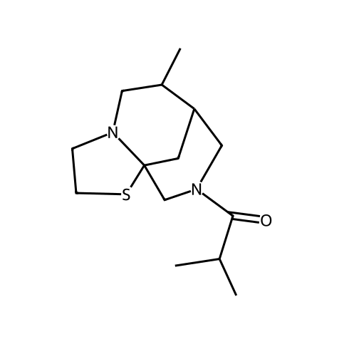 CC(C)C(=O)N1CC2CC3(C1)SCCN3CC2C